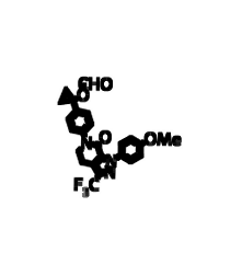 COc1ccc(-n2nc(C(F)(F)F)c3c2C(=O)N(c2ccc(C4(OC=O)CC4)cc2)CC3)cc1